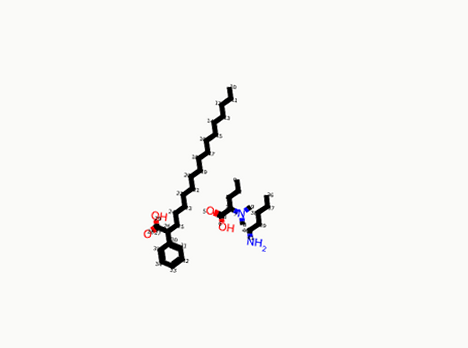 CCCC(C(=O)O)N(C)C.CCCCCCCCCCCCCCCCC(C(=O)O)c1ccccc1.CCCCCN